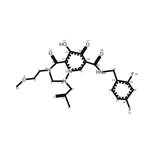 C=C(C)CN1CN(CCOC)C(=O)c2c(O)c(=O)c(C(=O)NCc3ccc(F)cc3F)cn21